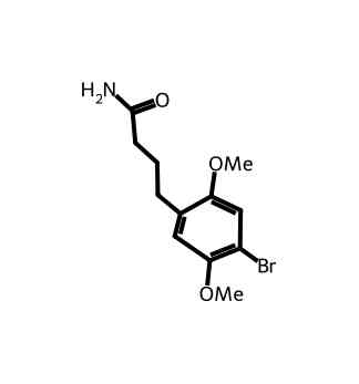 COc1cc(CCCC(N)=O)c(OC)cc1Br